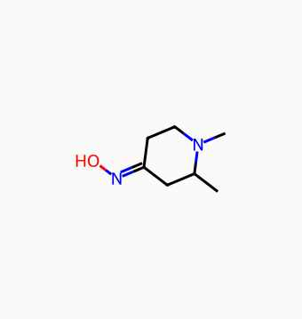 CC1C/C(=N/O)CCN1C